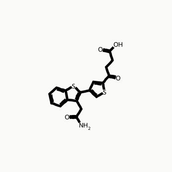 NC(=O)Cc1c(-c2csc(C(=O)CCC(=O)O)c2)sc2ccccc12